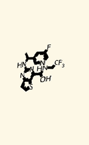 CC(Nc1nc(C(O)NCC(F)(F)F)c2sccc2n1)c1cncc(F)c1